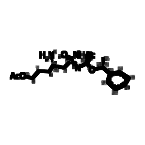 CC(=O)NS(=O)(C[C@@H](N)CCCOC(C)=O)=NC(=O)O[C@@H](C)c1ccccc1